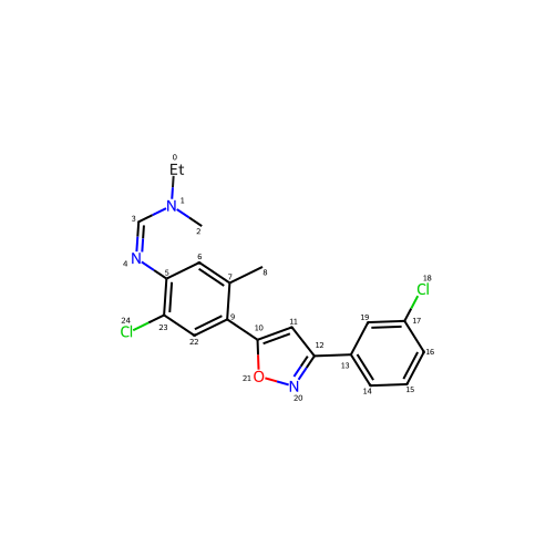 CCN(C)/C=N\c1cc(C)c(-c2cc(-c3cccc(Cl)c3)no2)cc1Cl